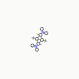 Cc1cc(N(c2ccccc2)c2ccccc2)cc2c3cc(C(C)(C)C)cc4c5c(C)cc(N(c6ccccc6)c6ccccc6)cc5c5cc(C(C)(C)C)cc(c12)c5c34